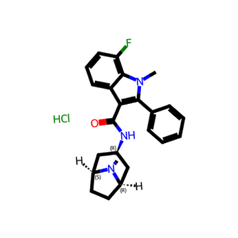 CN1[C@@H]2CC[C@H]1C[C@@H](NC(=O)c1c(-c3ccccc3)n(C)c3c(F)cccc13)C2.Cl